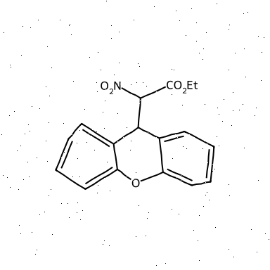 CCOC(=O)C(C1c2ccccc2Oc2ccccc21)[N+](=O)[O-]